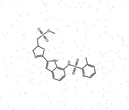 COS(=O)(=O)CC1CN=C(c2cc3cccc(NS(=O)(=O)c4ncccc4C)c3[nH]2)S1